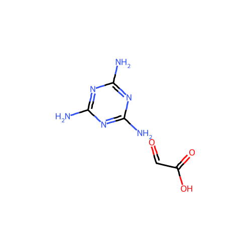 Nc1nc(N)nc(N)n1.O=CC(=O)O